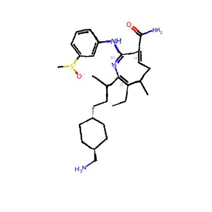 CC/C1=C(C(C)CC[C@H]2CC[C@H](CN)CC2)/N=C(Nc2cccc([S+](C)[O-])c2)\C(C(N)=O)=C\CC1C